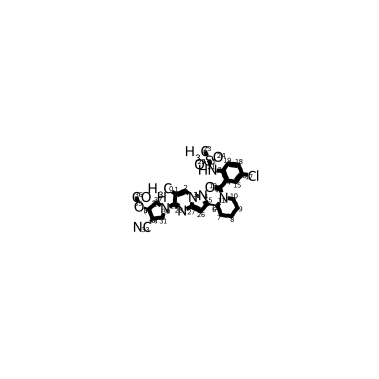 Cc1cn2nc([C@@H]3CCCCN3C(=O)c3cc(Cl)ccc3NS(C)(=O)=O)cc2nc1N1C[C@@H](C#N)[C@@H](OC(=O)O)C1